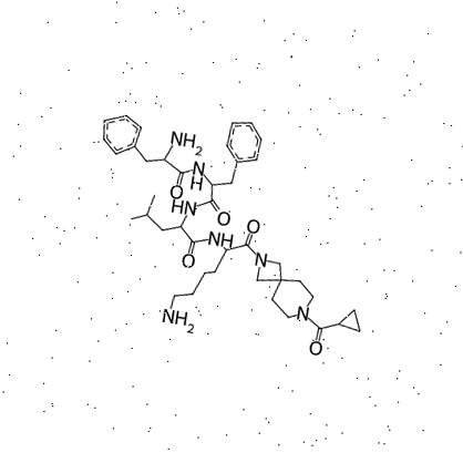 CC(C)CC(NC(=O)C(Cc1ccccc1)NC(=O)C(N)Cc1ccccc1)C(=O)NC(CCCCN)C(=O)N1CC2(CCN(C(=O)C3CC3)CC2)C1